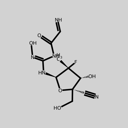 C[C@]1(F)[C@H](N/C(=N/O)NC(=O)C=N)O[C@](C#N)(CO)[C@H]1O